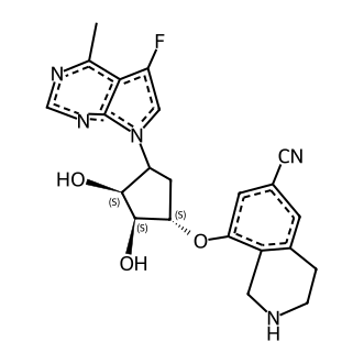 Cc1ncnc2c1c(F)cn2C1C[C@H](Oc2cc(C#N)cc3c2CNCC3)[C@@H](O)[C@H]1O